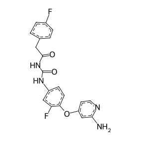 Nc1cc(Oc2ccc(NC(=O)NC(=O)Cc3ccc(F)cc3)cc2F)ccn1